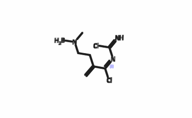 BN(C)CCC(=C)/C(Cl)=N\C(=N)Cl